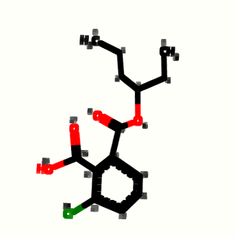 CCCC(CC)OC(=O)c1cccc(Cl)c1C(=O)O